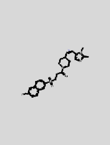 Cc1ncc(/C=C\C2CCN(C(=O)CCS(=O)(=O)c3ccc4cc(Cl)ccc4c3)CC2)n1C